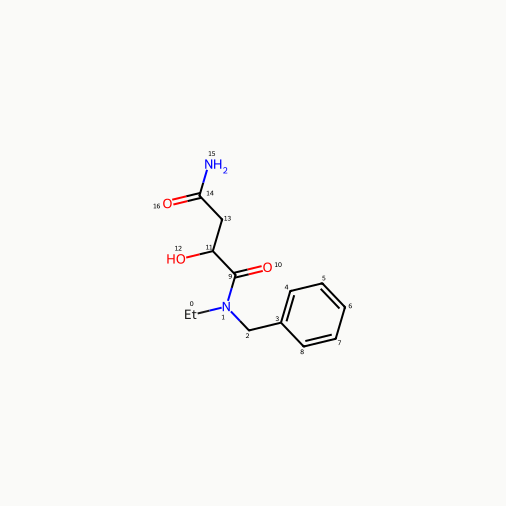 CCN(Cc1ccccc1)C(=O)C(O)CC(N)=O